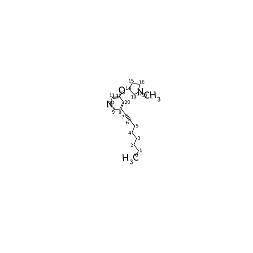 CCCCCCC#Cc1cncc(O[C@@H]2CCN(C)C2)c1